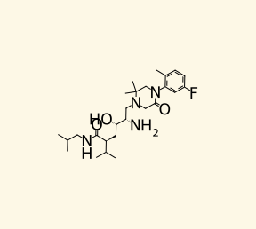 Cc1ccc(F)cc1N1CC(C)(C)N(C[C@H](N)[C@@H](O)C[C@H](C(=O)NCC(C)C)C(C)C)CC1=O